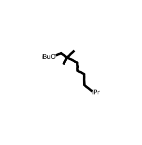 CC(C)CCCCC(C)(C)COCC(C)C